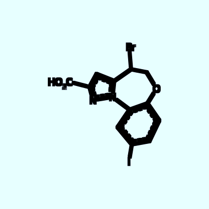 O=C(O)c1cc2n(n1)-c1cc(I)ccc1OCC2Br